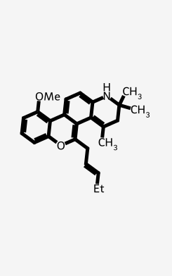 CCC=CCC1=c2c(ccc3c2=C(C)CC(C)(C)N3)-c2c(OC)cccc2O1